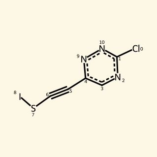 Clc1ncc(C#CSI)nn1